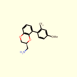 COc1ccc(-c2cccc3c2O[C@@H](CN)CO3)c(C(F)(F)F)c1